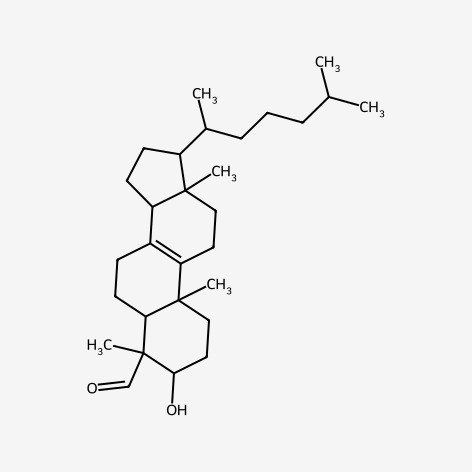 CC(C)CCCC(C)C1CCC2C3=C(CCC21C)C1(C)CCC(O)C(C)(C=O)C1CC3